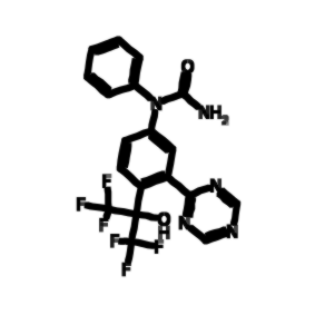 NC(=O)N(c1ccccc1)c1ccc(C(O)(C(F)(F)F)C(F)(F)F)c(-c2ncncn2)c1